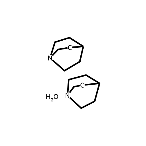 C1CN2CCC1CC2.C1CN2CCC1CC2.O